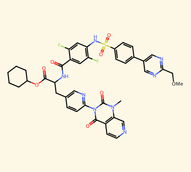 COCc1ncc(-c2ccc(S(=O)(=O)Nc3cc(F)c(C(=O)NC(Cc4ccc(-n5c(=O)c6ccncc6n(C)c5=O)nc4)C(=O)OC4CCCCC4)cc3F)cc2)cn1